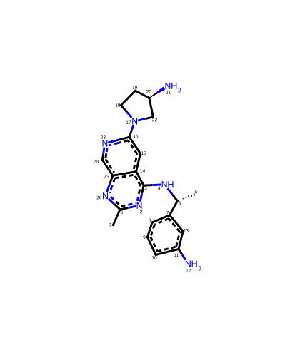 Cc1nc(N[C@H](C)c2cccc(N)c2)c2cc(N3CC[C@@H](N)C3)ncc2n1